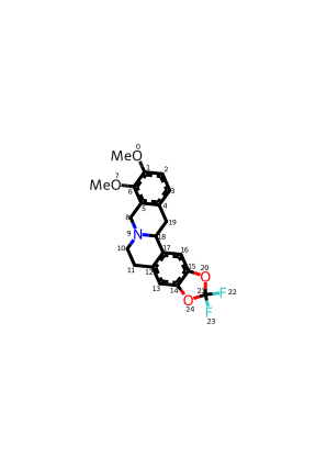 COc1ccc2c(c1OC)CN1CCc3cc4c(cc3C1C2)OC(F)(F)O4